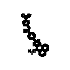 CC(c1nc(-c2ccc(NCc3ccc([N+](=O)[O-])s3)cc2)no1)c1cccc2ccccc12